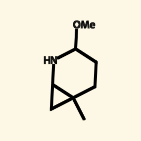 COC1CCC2(C)CC2N1